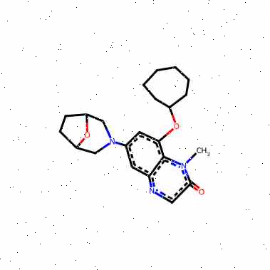 Cn1c(=O)cnc2cc(N3CC4CCC(C3)O4)cc(OC3CCCCCC3)c21